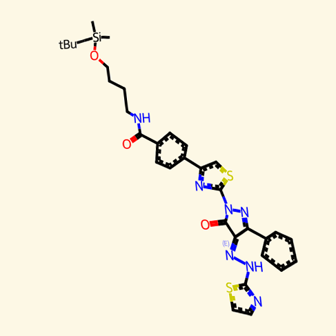 CC(C)(C)[Si](C)(C)OCCCCNC(=O)c1ccc(-c2csc(N3N=C(c4ccccc4)/C(=N\Nc4nccs4)C3=O)n2)cc1